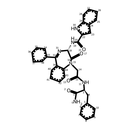 NC(=O)[C@H](Cc1ccccc1)NC(=O)CN1C(=O)[C@@H](NC(=O)c2cc3ccccc3[nH]2)N=C(c2ccccc2)c2ccccc21